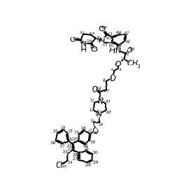 CC(OCCOCCC(=O)N1CCN(CCOc2ccc(/C(=C(/CCCl)c3ccccc3)c3ccccc3)cc2)CC1)C(=O)Nc1cccc2c1CN(C1CCC(=O)NC1=O)C2=O